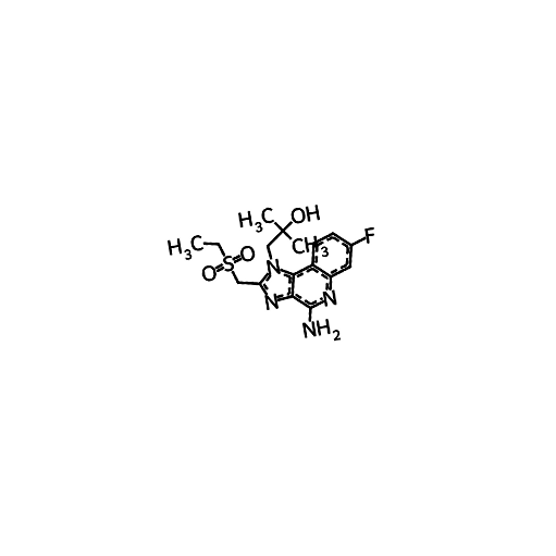 CCS(=O)(=O)Cc1nc2c(N)nc3cc(F)ccc3c2n1CC(C)(C)O